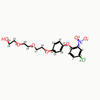 O=[N+]([O-])c1cc(Cl)ccc1Oc1ccc(OCCOCCOCCO)cc1